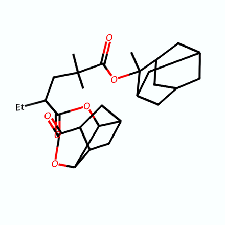 CCC(CC(C)(C)C(=O)OC1(C)C2CC3CC(C2)CC1C3)C(=O)OC1C2CC3C(=O)OC1C3C2